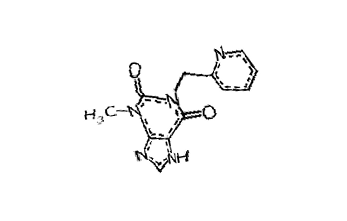 Cn1c(=O)n(Cc2ccccn2)c(=O)c2[nH]cnc21